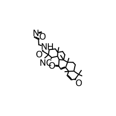 CC12CCC(C)(C(=O)NCc3cnco3)C(C#N)C1C1C(=O)C=C3C4(C)C=CC(=O)C(C)(C)C4CCC3(C)C1(C)CC2